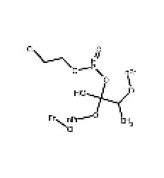 CCCOC(C)C(O)(OCCC)O[PH](=O)OCCCl.CCCl